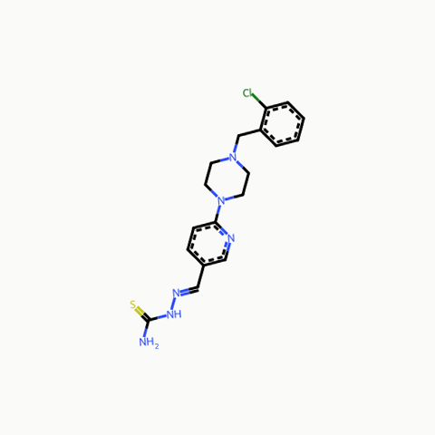 NC(=S)N/N=C/c1ccc(N2CCN(Cc3ccccc3Cl)CC2)nc1